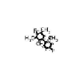 CC1=CC(c2ccc(I)c[n+]2C)=C(C)C(C)C1F